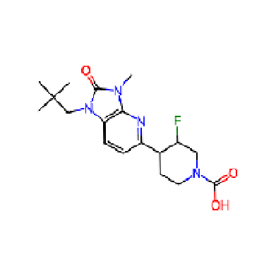 Cn1c(=O)n(CC(C)(C)C)c2ccc(C3CCN(C(=O)O)CC3F)nc21